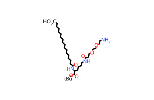 CC(C)(C)OC(=O)C(CCCCNC(=O)CCOCCOCCN)NC(=O)CCCCCCCCCCCCCCCCC(=O)O